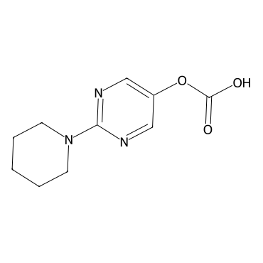 O=C(O)Oc1cnc(N2CCCCC2)nc1